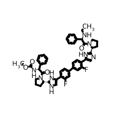 CCN[C@@H](C(=O)N1CCC[C@H]1c1ncc(-c2ccc(-c3ccc(C4=CNC([C@@H]5CCCN5C(=O)[C@H](NC(=O)OC)c5ccccc5)N4)c(F)c3)cc2F)[nH]1)c1ccccc1